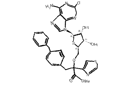 COC(=O)C(Cc1ccc(-c2ccccc2)cc1)(OC[C@H]1O[C@@H](n2cnc3c(N)nc(Cl)nc32)[C@H](O)[C@@H]1O)c1cscn1